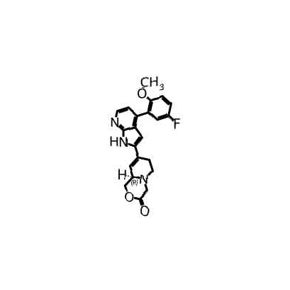 COc1ccc(F)cc1-c1ccnc2[nH]c(C3=C[C@@H]4COC(=O)CN4CC3)cc12